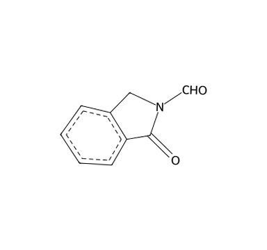 O=CN1Cc2ccccc2C1=O